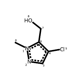 Cn1ncc(Cl)c1CO